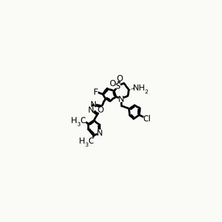 Cc1cc(C)c(-c2nnc(-c3cc4c(cc3F)S(=O)(=O)C[C@H](N)CN4Cc3ccc(Cl)cc3)o2)cn1